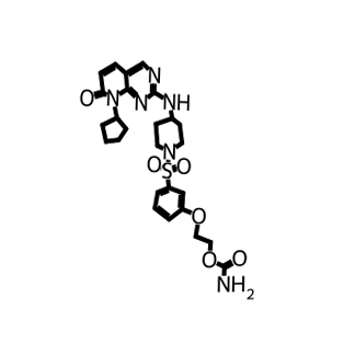 NC(=O)OCCOc1cccc(S(=O)(=O)N2CCC(Nc3ncc4ccc(=O)n(C5CCCC5)c4n3)CC2)c1